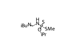 CCC(C)N=CNP(=S)(OC(C)C)SC